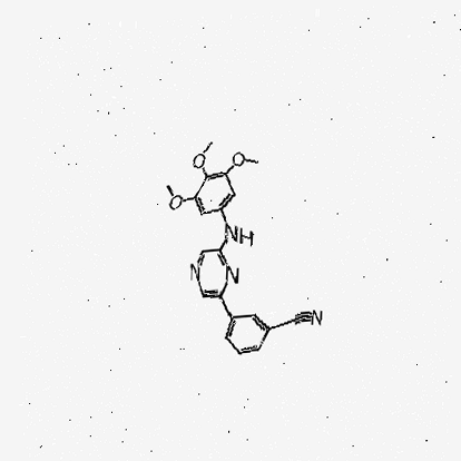 COc1cc(Nc2cncc(-c3cccc(C#N)c3)n2)cc(OC)c1OC